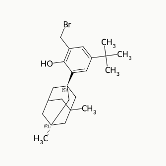 CC12CC3C[C@](C)(C1)C[C@](c1cc(C(C)(C)C)cc(CBr)c1O)(C3)C2